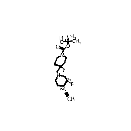 C#C[C@@H]1CCN(CC2(F)CCN(C(=O)OC(C)(C)C)CC2)C[C@@H]1F